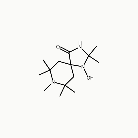 CN1C(C)(C)CC2(CC1(C)C)C(=O)NC(C)(C)N2O